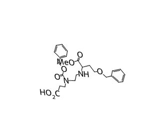 COC(=O)C(CCOCc1ccccc1)NCCN(CCC(=O)O)C(=O)OCc1ccccc1